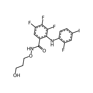 O=C(NOCCCO)c1cc(F)c(F)c(F)c1Nc1ccc(I)cc1F